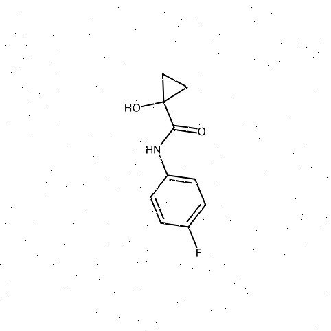 O=C(Nc1ccc(F)cc1)C1(O)CC1